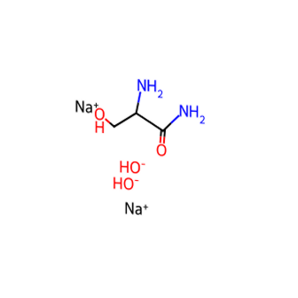 NC(=O)C(N)CO.[Na+].[Na+].[OH-].[OH-]